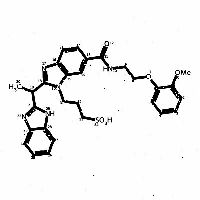 COc1ccccc1OCCNC(=O)c1ccc2nc(C(C)c3nc4ccccc4[nH]3)n(CCCS(=O)(=O)O)c2c1